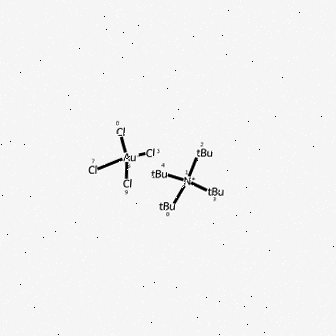 CC(C)(C)[N+](C(C)(C)C)(C(C)(C)C)C(C)(C)C.[Cl][Au-]([Cl])([Cl])[Cl]